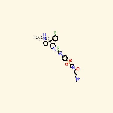 CN(C)C/C=C/C(=O)N1CC(S(=O)(=O)c2ccc(N3CC(F)(CN4CCC([C@@](C#N)(c5cccc(F)c5)[C@H]5CCC[C@@H]5NC(=O)O)CC4)C3)cc2)C1